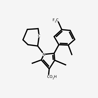 Cc1ccc(C(F)(F)F)cc1-c1c(C)c(C(=O)O)c(C)n1C1CCCCC1